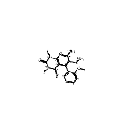 COc1ccccc1-c1c(CN)c(N)nc2c1c(=O)n(C)c(=O)n2C